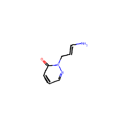 NC=CCn1ncccc1=O